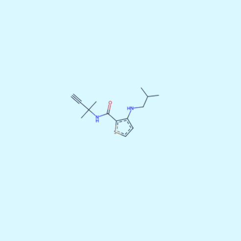 C#CC(C)(C)NC(=O)c1sccc1NCC(C)C